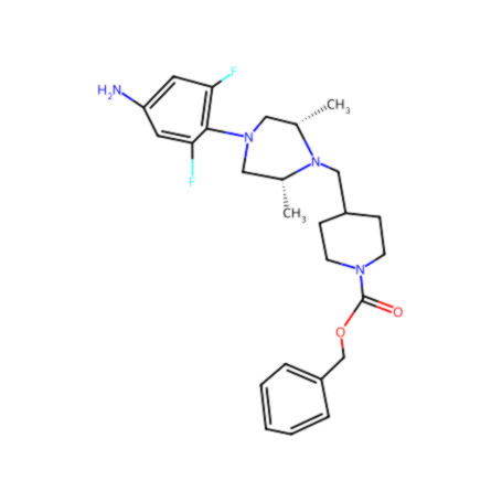 C[C@@H]1CN(c2c(F)cc(N)cc2F)C[C@H](C)N1CC1CCN(C(=O)OCc2ccccc2)CC1